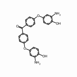 Nc1cc(Oc2ccc(C(=O)c3ccc(Oc4ccc(O)c(N)c4)cc3)cc2)ccc1O